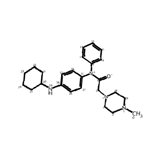 CN1CCN(CC(=O)N(c2ccccc2)c2ccc(NC3CCCCC3)cc2)CC1